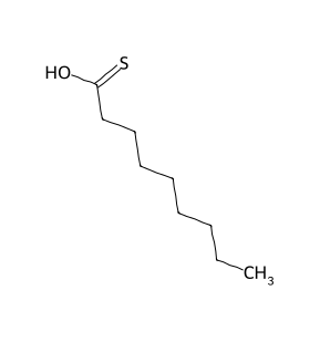 CCCCCCCCC(O)=S